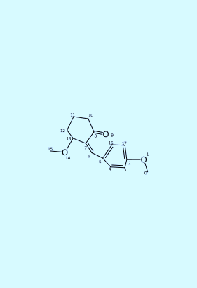 COc1ccc(C=C2C(=O)CCCC2OC)cc1